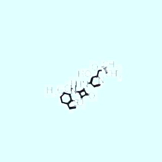 CN(C)C(=O)c1nccc(Nc2c(N[C@@H]3c4sccc4CCC3(C)C)c(=O)c2=O)c1O